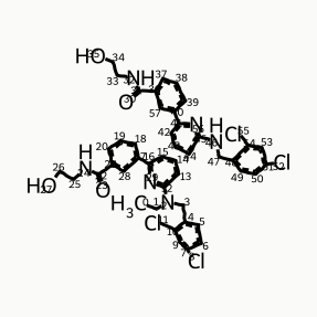 CCN(Cc1ccc(Cl)cc1Cl)c1cccc(-c2cccc(C(=O)NCCO)c2)n1.O=C(NCCO)c1cccc(-c2cccc(NCc3ccc(Cl)cc3Cl)n2)c1